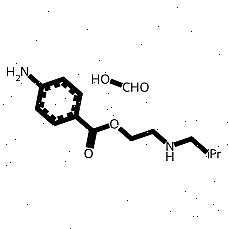 CC(C)CNCCOC(=O)c1ccc(N)cc1.O=CO